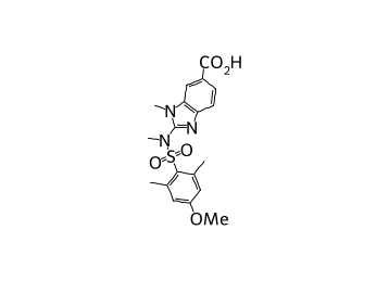 COc1cc(C)c(S(=O)(=O)N(C)c2nc3ccc(C(=O)O)cc3n2C)c(C)c1